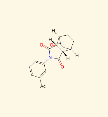 CC(=O)c1cccc(N2C(=O)[C@H]3[C@@H]4CC[C@@H](C(=O)C4)[C@H]3C2=O)c1